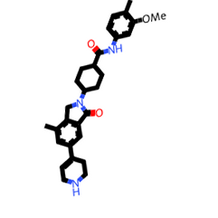 COc1cc(NC(=O)C2CCC(N3Cc4c(C)cc(C5=CCNCC5)cc4C3=O)CC2)ccc1C